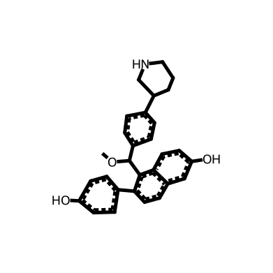 COC(c1ccc(C2CCCNC2)cc1)c1c(-c2ccc(O)cc2)ccc2cc(O)ccc12